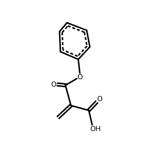 C=C(C(=O)O)C(=O)Oc1ccccc1